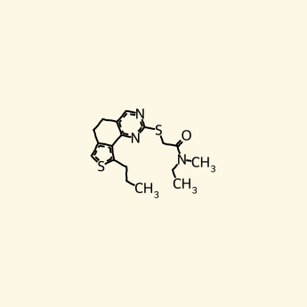 CCCc1scc2c1-c1nc(SCC(=O)N(C)CC)ncc1CC2